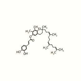 CC(C)=CCCC(C)=CCCC(C)=CCCC1(C)CCc2cc(OC(=O)C=Cc3ccc(O)c(O)c3)c(C)c(C)c2O1